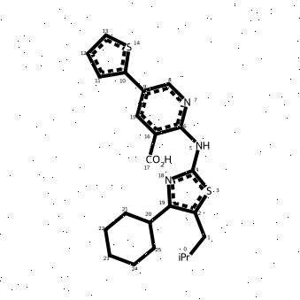 CC(C)Cc1sc(Nc2ncc(-c3cccs3)cc2C(=O)O)nc1C1CCCCC1